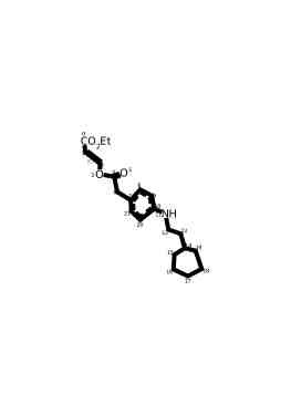 CCOC(=O)/C=C/OC(=O)Cc1ccc(NCCC2CCCCC2)cc1